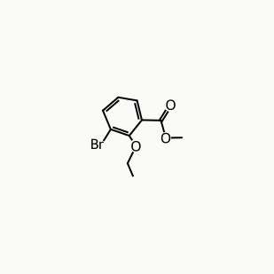 CCOc1c(Br)cccc1C(=O)OC